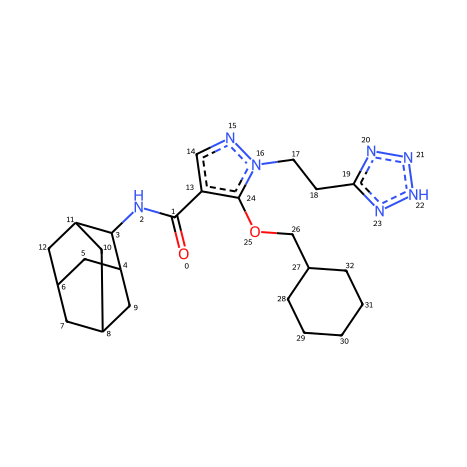 O=C(NC1C2CC3CC(C2)CC1C3)c1cnn(CCc2nn[nH]n2)c1OCC1CCCCC1